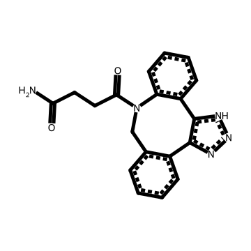 NC(=O)CCC(=O)N1Cc2ccccc2-c2nn[nH]c2-c2ccccc21